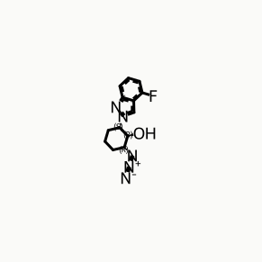 [N-]=[N+]=N[C@@H]1CCC[C@H](n2cc3c(F)cccc3n2)[C@H]1O